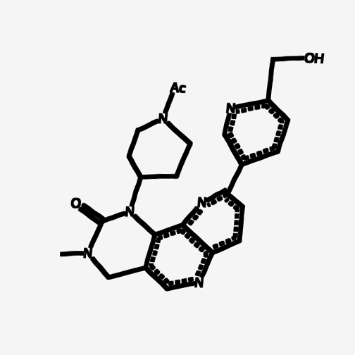 CC(=O)N1CCC(N2C(=O)N(C)Cc3cnc4ccc(-c5ccc(CO)nc5)nc4c32)CC1